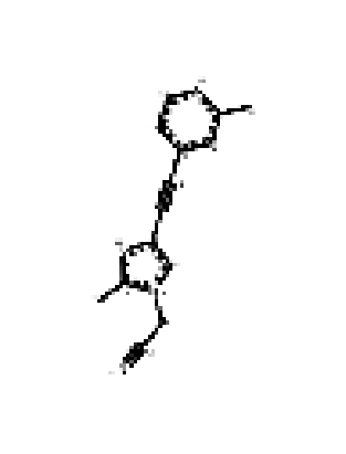 Cc1cc(C#Cc2cn(CC#N)c(C)n2)ccn1